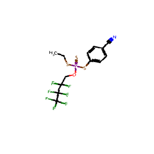 CCSP(=S)(OCC(F)(F)C(F)(F)C(F)(F)F)Sc1ccc(C#N)cc1